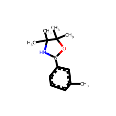 Cc1cccc(B2NC(C)(C)C(C)(C)O2)c1